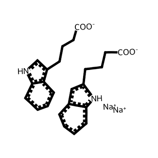 O=C([O-])CCCc1c[nH]c2ccccc12.O=C([O-])CCCc1cc2ccccc2[nH]1.[Na+].[Na+]